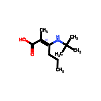 CCC/C(NC(C)(C)C)=C(/C)C(=O)O